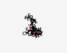 C[C@@H]1Oc2nc(Cl)c(F)c3nc(O[C@@H](C)[C@@H]4C[C@@H](OC(F)(F)F)CN4C)nc(c23)N2C[C@H]3CC[C@@H]([C@@H]12)N3C(=O)OC(C)(C)C